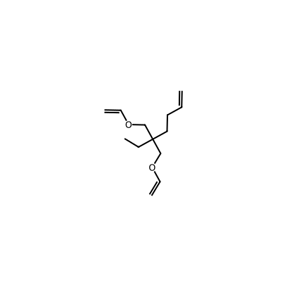 C=CCCC(CC)(COC=C)COC=C